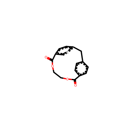 O=C1OCCOC(=O)c2ccc(cc2)Cc2ccc1cc2